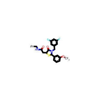 CC(C)CNC(=O)CC1SC(c2cccc(OC(F)(F)F)c2)N(Cc2cc(F)cc(F)c2)C1=O